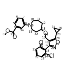 COC(=O)c1cccc(N2CCCC(OCc3c(-c4c(Cl)cccc4Cl)noc3C3CC3)CC2)c1